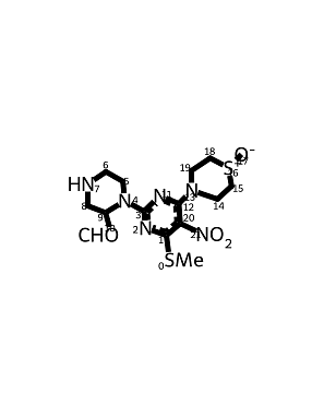 CSc1nc(N2CCNCC2C=O)nc(N2CC[S+]([O-])CC2)c1[N+](=O)[O-]